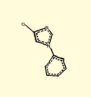 Clc1cn(-c2ccccc2)[c]n1